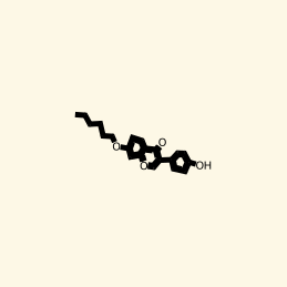 CCCCCCOc1ccc2c(=O)c(-c3ccc(O)cc3)coc2c1